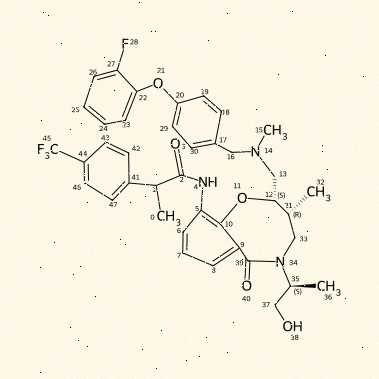 CC(C(=O)Nc1cccc2c1O[C@H](CN(C)Cc1ccc(Oc3ccccc3F)cc1)[C@H](C)CN([C@@H](C)CO)C2=O)c1ccc(C(F)(F)F)cc1